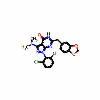 CN(C)c1nn(-c2c(Cl)cccc2Cl)c2nc(Cc3ccc4c(c3)OCO4)[nH]c(=O)c12